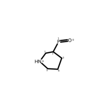 O=PC1CCCNC1